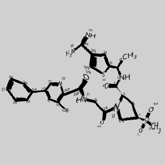 CC(NC(=O)[C@@H]1C[C@@H](S(C)(=O)=O)CN1C(=O)CNC(=O)c1ncc(-c2ccccc2)cc1F)c1cc(C(=N)N)cs1